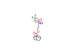 O=C(OCCCNS(=O)(=O)CC(F)(F)F)C12CC3CC(CC(C3)C1)C2